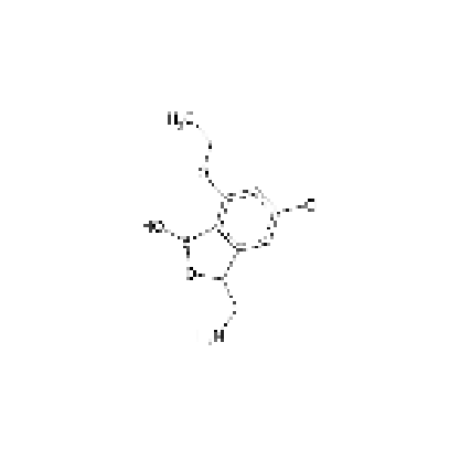 CCOc1cc(Cl)cc2c1B(O)OC2CN